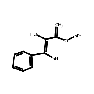 C=C(OCCC)/C(O)=C(\S)c1ccccc1